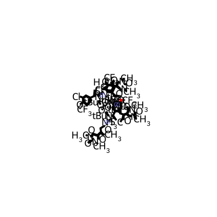 Cc1oc2c(c1CC(=O)/N=c1\scc(-c3ccc(OC(F)(F)F)c(Cl)c3)n1C(OP(=O)(OC(n1c(-c3ccc(OC(F)(F)F)c(Cl)c3)cs/c1=N\C(=O)Cc1c(C)oc3c1c(=O)n(C)c(=O)n3C)(C(C)(C)C)C(C)(C)C)OC(n1c(-c3ccc(OC(F)(F)F)c(Cl)c3)cs/c1=N\C(=O)Cc1c(C)oc3c1c(=O)n(C)c(=O)n3C)(C(C)(C)C)C(C)(C)C)(C(C)(C)C)C(C)(C)C)c(=O)n(C)c(=O)n2C